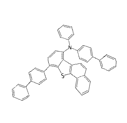 c1ccc(-c2ccc(-c3ccc(N(c4ccccc4)c4ccc(-c5ccccc5)cc4)c4c3sc3c5ccccc5ccc34)cc2)cc1